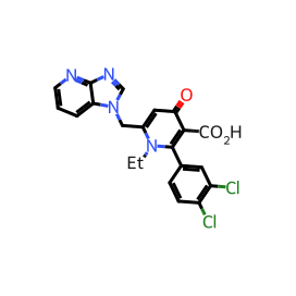 CCn1c(Cn2cnc3ncccc32)cc(=O)c(C(=O)O)c1-c1ccc(Cl)c(Cl)c1